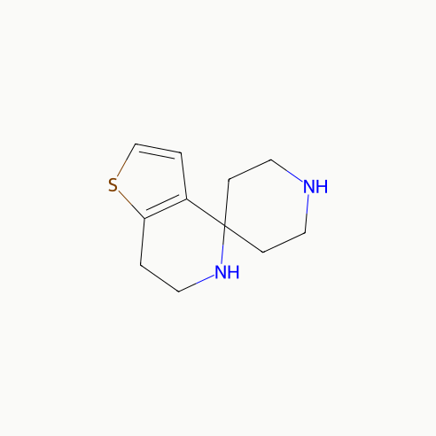 c1cc2c(s1)CCNC21CCNCC1